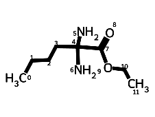 CCCCC(N)(N)C(=O)OCC